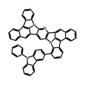 c1ccc(-n2c3ccccc3c3cc(-c4cccc5c6c7ccccc7cc7c8nc9c(cc8n(c45)c76)c4cc5ccccc5c5c6ccccc6n9c45)ccc32)cc1